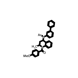 COc1ccc(C(=O)N2c3ccccc3C(N(C(C)=O)c3cccc(-c4ccccc4)c3)CC2C)cc1